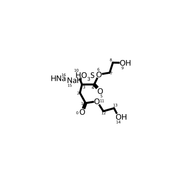 O=C(CC(C(=O)OCCO)S(=O)(=O)O)OCCO.[NaH].[NaH]